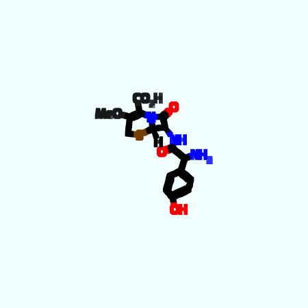 COC1=C(C(=O)O)N2C(=O)[C@@H](NC(=O)C(N)c3ccc(O)cc3)[C@@H]2SC1